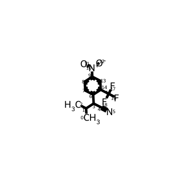 CC(C)C(C#N)c1ccc([N+](=O)[O-])cc1C(F)(F)F